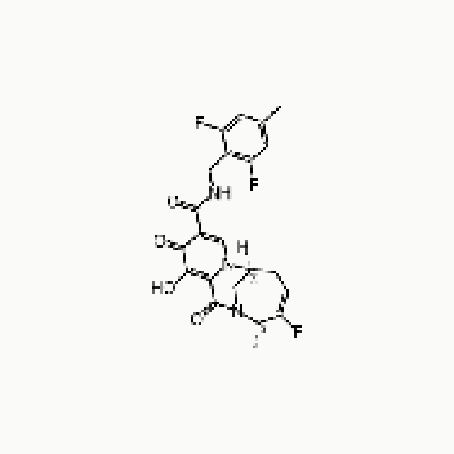 Cc1cc(F)c(CNC(=O)c2cn3c(c(O)c2=O)C(=O)N2C[C@@H]3CC=C(F)[C@@H]2C)c(F)c1